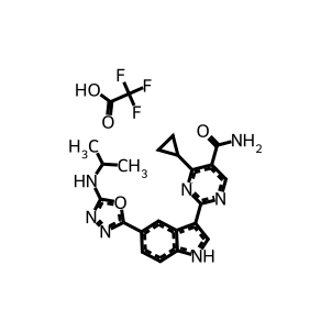 CC(C)Nc1nnc(-c2ccc3[nH]cc(-c4ncc(C(N)=O)c(C5CC5)n4)c3c2)o1.O=C(O)C(F)(F)F